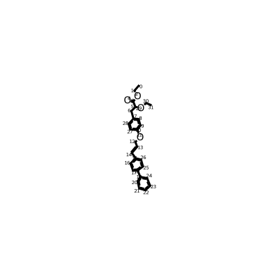 CCOC(=O)C(Cc1ccc(OCC=Cc2ccc(-c3ccccc3)cc2)cc1)OCC